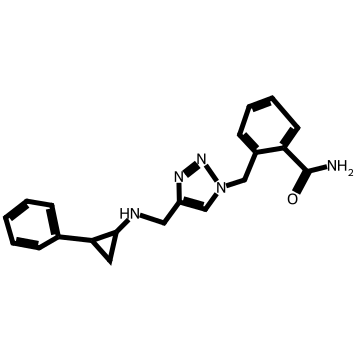 NC(=O)c1ccccc1Cn1cc(CNC2CC2c2ccccc2)nn1